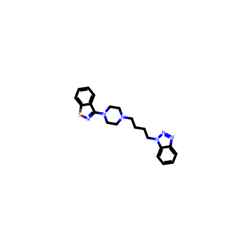 c1ccc2c(c1)nnn2CCCCN1CCN(c2nsc3ccccc23)CC1